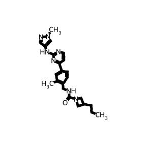 CCCC1CN(C(=O)NCc2ccc(-c3ccnc(Nc4cnn(C)c4)n3)cc2C)C1